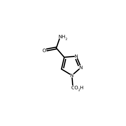 NC(=O)c1cn(C(=O)O)nn1